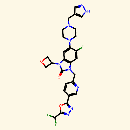 O=c1n(Cc2ccc(-c3nnc(C(F)F)o3)cn2)c2cc(F)c(N3CCN(Cc4cn[nH]c4)CC3)cc2n1C1COC1